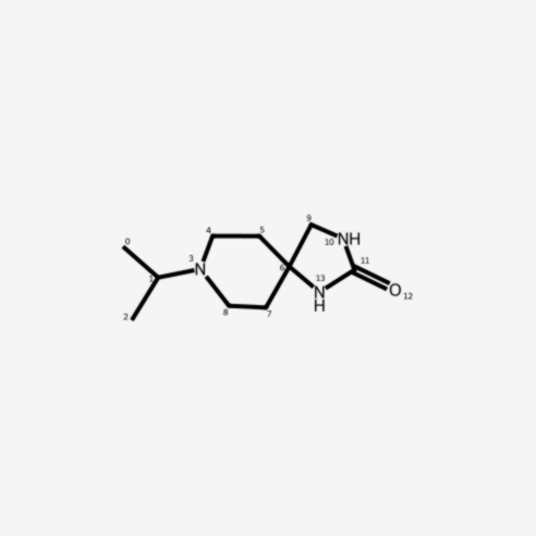 CC(C)N1CCC2(CC1)CNC(=O)N2